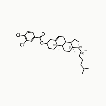 CC(C)CCC[C@@H](C)[C@H]1CCC2C3CC=C4CC(OC(=O)c5ccc(Cl)c(Cl)c5)CC[C@]4(C)C3CC[C@@]21C